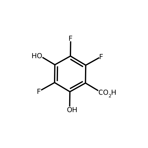 O=C(O)c1c(O)c(F)c(O)c(F)c1F